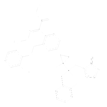 CO/N=C(/C(=O)OC)c1ccccc1COc1ccccc1C.OC(Cc1ccccc1Cl)(Cn1nc[nH]c1=S)C1(Cl)CC1